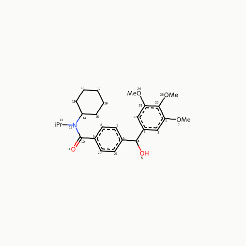 COc1cc(C(O)c2ccc(C(=O)N(C(C)C)C3CCCCC3)cc2)cc(OC)c1OC